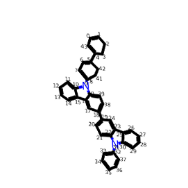 C1=CCCC(C2=CC=C(n3c4ccccc4c4cc(-c5ccc6c(c5)c5ccccc5n6-c5ccccc5)ccc43)CC2)=C1